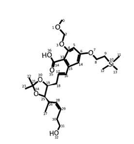 COCOc1cc(OCC[Si](C)(C)C)cc(/C=C/C[C@@H]2OC(C)(C)O[C@@H]2C(C)/C=C\CCO)c1C(=O)O